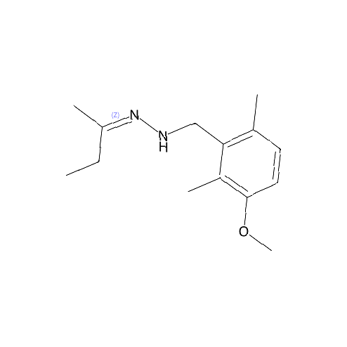 CC/C(C)=N\NCc1c(C)ccc(OC)c1C